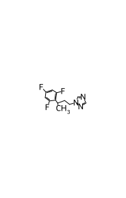 C[C@H](CCn1cncn1)c1c(F)cc(F)cc1F